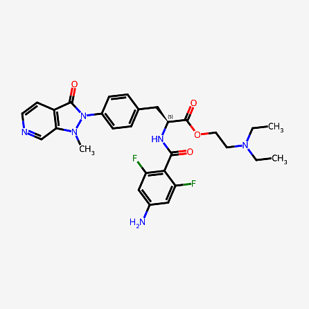 CCN(CC)CCOC(=O)[C@H](Cc1ccc(-n2c(=O)c3ccncc3n2C)cc1)NC(=O)c1c(F)cc(N)cc1F